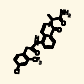 CC(C(N)=O)n1ccc2c(NC(=O)Cc3ccc(Cl)cc3C(F)(F)F)cccc2c1=O